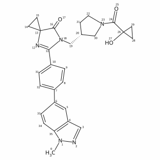 Cn1ncc2cc(-c3ccc(C4=NC5(CC5)C(=O)N4C[C@@H]4CCN(C(=O)C5(O)CC5)C4)cc3)ccc21